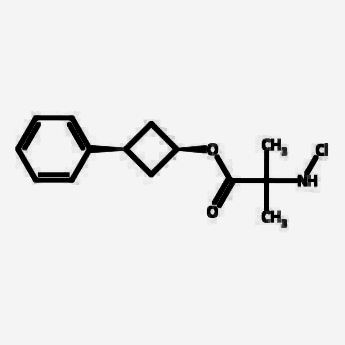 CC(C)(NCl)C(=O)O[C@H]1C[C@@H](c2ccccc2)C1